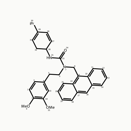 COc1ccc(CCN(Cc2c3ccccc3cc3ccccc23)C(=O)NC2C=CC(C(C)C)=CC2)cc1OC